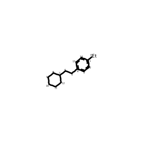 CCc1ccc(CCC2CCCCC2)cc1